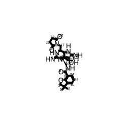 CC1(C)COc2c(C(=O)N[C@H]3CN4C(=N)NC(CN5C(=O)CCC5=O)C5NC(=N)NC54C3(O)O)cccc21